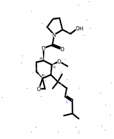 CO[C@H]1C(C(C)(C)C/C=C/C(C)C)[C@]2(CC[C@H]1OC(=O)N1CCCC1CO)CO2